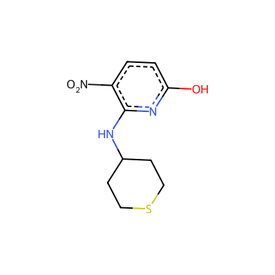 O=[N+]([O-])c1ccc(O)nc1NC1CCSCC1